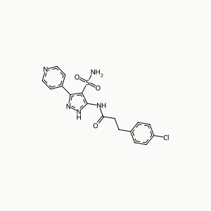 NS(=O)(=O)c1c(-c2ccncc2)n[nH]c1NC(=O)CCc1ccc(Cl)cc1